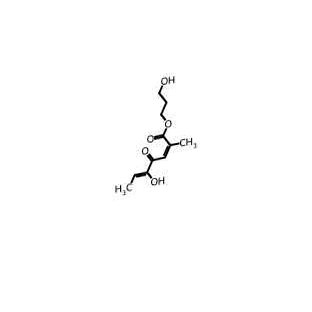 CC=C(O)C(=O)C=C(C)C(=O)OCCCO